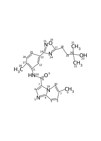 Cc1ccc2ncc(C(=O)Nc3cc(-c4noc(CCC(C)(C)O)n4)ccc3C)n2c1